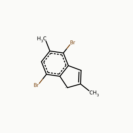 CC1=Cc2c(Br)c(C)cc(Br)c2[CH]1